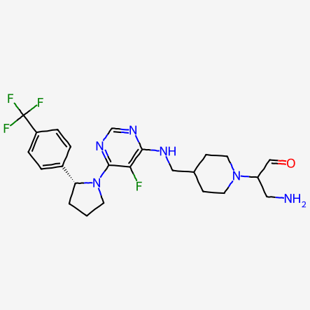 NCC(C=O)N1CCC(CNc2ncnc(N3CCC[C@@H]3c3ccc(C(F)(F)F)cc3)c2F)CC1